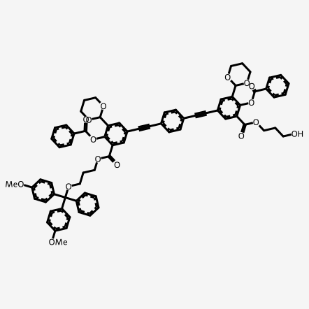 COc1ccc(C(OCCCOC(=O)c2cc(C#Cc3ccc(C#Cc4cc(C(=O)OCCCO)c(OC(=O)c5ccccc5)c(C5OCCCO5)c4)cc3)cc(C3OCCCO3)c2OC(=O)c2ccccc2)(c2ccccc2)c2ccc(OC)cc2)cc1